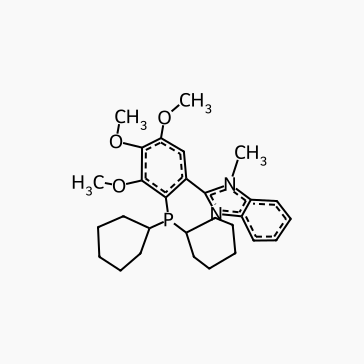 COc1cc(-c2nc3ccccc3n2C)c(P(C2CCCCC2)C2CCCCC2)c(OC)c1OC